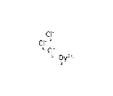 [Cl-].[Cl-].[Cl-].[Dy+3]